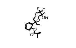 C=C(C)C(=O)Oc1ccccc1C(CC)(CC)OCC(C)(O)C(F)(F)F